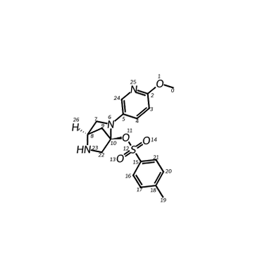 COc1ccc(N2C[C@H]3C[C@@]2(OS(=O)(=O)c2ccc(C)cc2)CN3)cn1